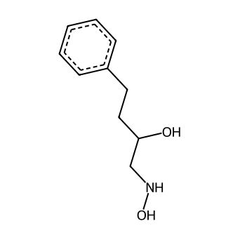 ONCC(O)CCc1ccccc1